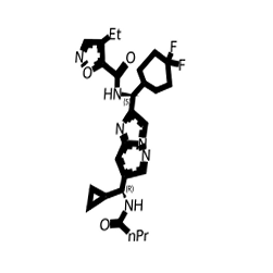 CCCC(=O)N[C@@H](c1cnn2cc([C@@H](NC(=O)c3oncc3CC)C3CCC(F)(F)CC3)nc2c1)C1CC1